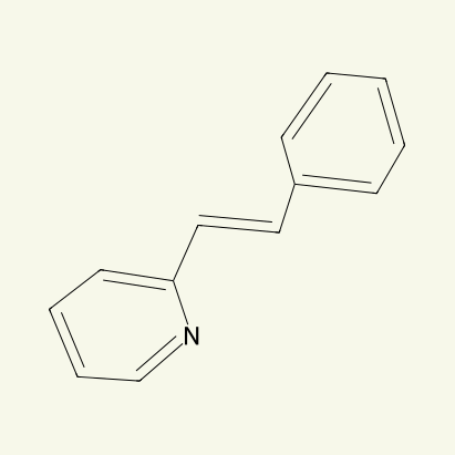 C(=C\c1ccccn1)/c1ccccc1